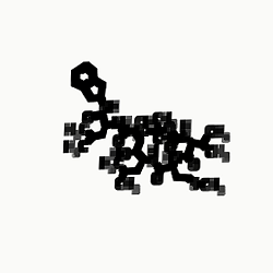 CSCC[C@H](NC(=O)[C@@H](NC(=O)OC(C)(C)C)C(C)C)C(=O)N[C@@H](CC(C)C)[C@@H](O)C[C@@H](C)C(=O)N[C@@H](CC(C)C)C(=O)NC1Cc2ccccc2C1